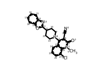 Cn1c(=O)c(C#N)c(N2CCC(c3nc4ccccc4o3)CC2)c2cccc(Cl)c21